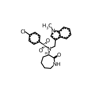 Cn1cc(CN([C@@H]2CCCCNC2=O)S(=O)(=O)c2ccc(Cl)cc2)c2ccccc21